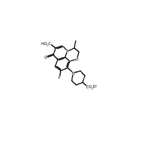 CCOC(=O)C1CCN(c2c(F)cc3c(=O)c(C(=O)O)cn4c3c2OCC4C)CC1